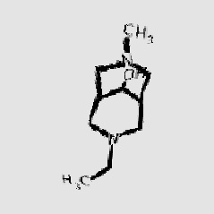 CCN1CC2CN(C)CC(C1)C2O